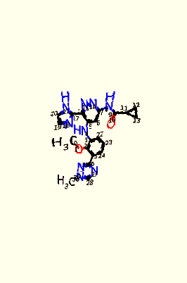 COc1c(Nc2cc(NC(=O)C3CC3)nnc2-c2ncc[nH]2)cccc1-c1ncn(C)n1